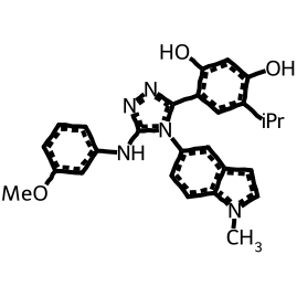 COc1cccc(Nc2nnc(-c3cc(C(C)C)c(O)cc3O)n2-c2ccc3c(ccn3C)c2)c1